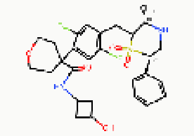 C[C@@H]1NC[C@@H](c2ccccc2)S(=O)(=O)C1Cc1cc(F)c(C2(C(=O)NC3CC(O)C3)CCOCC2)cc1F